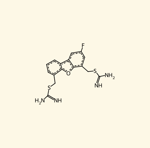 N=C(N)SCc1cccc2c1oc1c(CSC(=N)N)cc(F)cc12